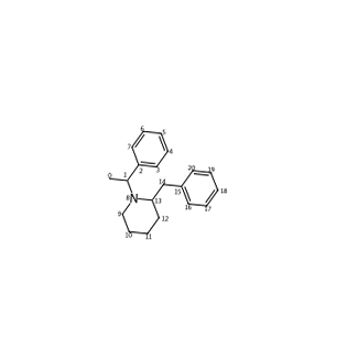 CC(c1ccccc1)N1CCCCC1Cc1ccccc1